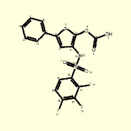 O=C(O)Oc1sc(-c2ccccc2)cc1NS(=O)(=O)c1ccc(F)c(F)c1F